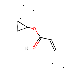 C=CC(=O)OC1CC1.[K]